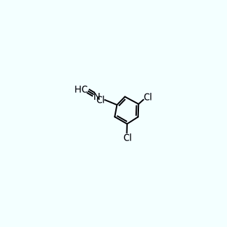 C#N.Clc1cc(Cl)cc(Cl)c1